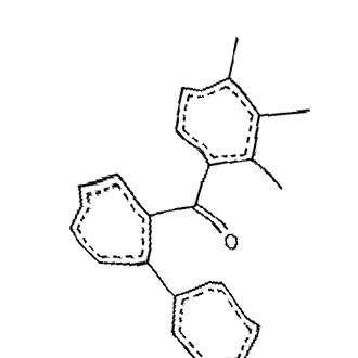 Cc1ccc(C(=O)c2ccccc2-c2ccccc2)c(C)c1C